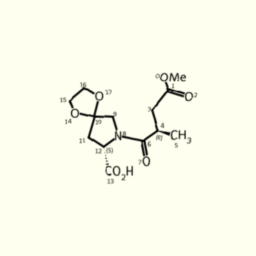 COC(=O)C[C@@H](C)C(=O)N1CC2(C[C@H]1C(=O)O)OCCO2